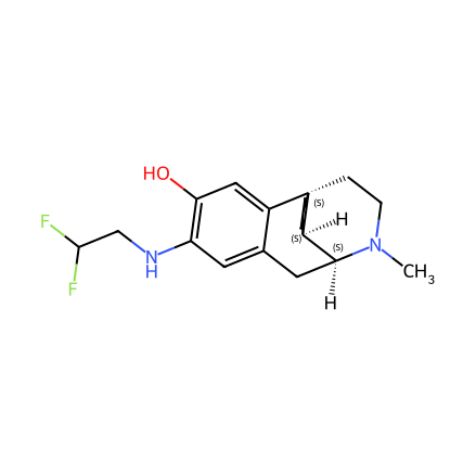 CN1CC[C@@]23CCCC[C@@H]2[C@@H]1Cc1cc(NCC(F)F)c(O)cc13